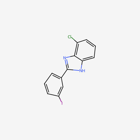 Clc1cccc2[nH]c(-c3cccc(I)c3)nc12